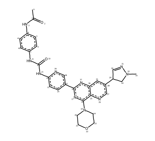 CC(=O)Nc1ccc(NC(=O)Nc2ccc(-c3nc(N4CCOCC4)c4ncc(C5C=NN(C)C5)cc4n3)cn2)cc1